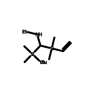 C=C[Si](C)(C)C(NCC)[Si](C)(C)C(C)(C)C